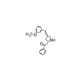 COc1cccc(C=C=C2CNC(CC(=O)c3ccccc3)C2)c1